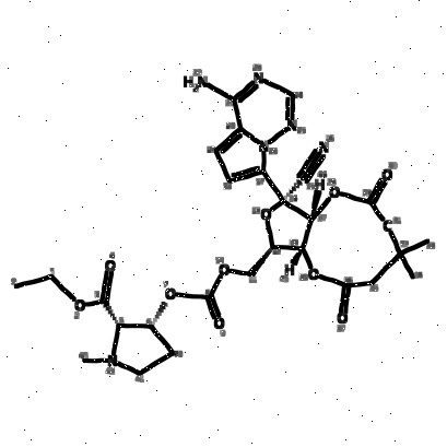 CCOC(=O)[C@@H]1[C@H](OC(=O)OC[C@H]2O[C@@](C#N)(c3ccc4c(N)ncnn34)[C@@H]3OC(=O)CC(C)(C)CC(=O)O[C@@H]32)CCN1C